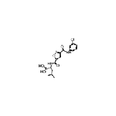 CC(C)C[C@H](NC(=O)C1CC(C(=O)Nc2cccc(Cl)c2)=NO1)B(O)O